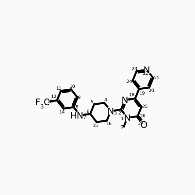 Cn1c(N2CCC(Nc3cccc(C(F)(F)F)c3)CC2)nc(-c2ccncc2)cc1=O